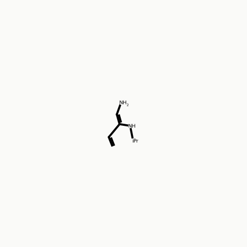 C=C/C(=C/N)NC(C)C